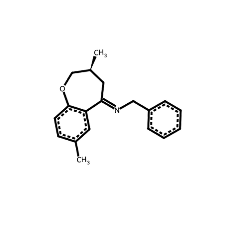 Cc1ccc2c(c1)C(=NCc1ccccc1)C[C@H](C)CO2